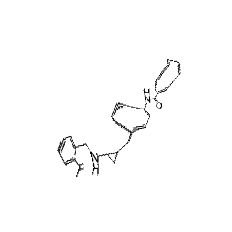 O=C(Nc1ccc(C2CC2NCc2ccccc2F)cc1)c1ccccc1